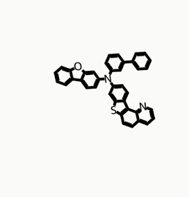 c1ccc(-c2cccc(N(c3ccc4c(c3)oc3ccccc34)c3ccc4c(c3)sc3ccc5cccnc5c34)c2)cc1